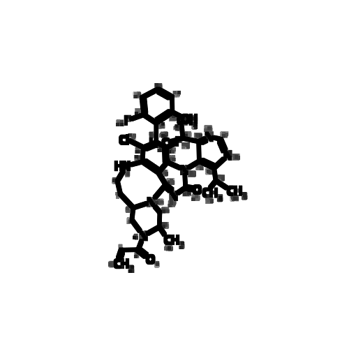 C=CC(=O)N1CC2CCNc3c(Cl)c(-c4c(O)cccc4F)c(F)c4c3c(nc(=O)n4-c3c(C(C)C)ncnc3C(C)C)N2CC1C